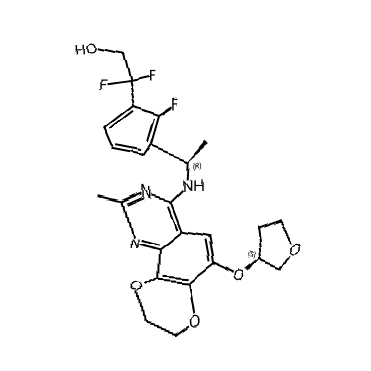 Cc1nc(N[C@H](C)c2cccc(C(F)(F)CO)c2F)c2cc(O[C@H]3CCOC3)c3c(c2n1)OCCO3